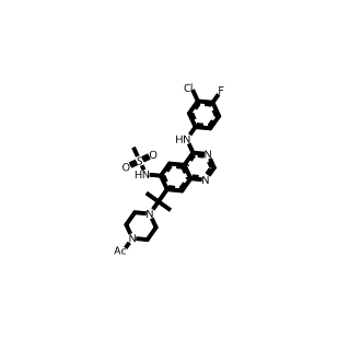 CC(=O)N1CCN(C(C)(C)c2cc3ncnc(Nc4ccc(F)c(Cl)c4)c3cc2NS(C)(=O)=O)CC1